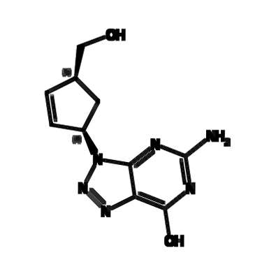 Nc1nc(O)c2nnn([C@H]3C=C[C@@H](CO)C3)c2n1